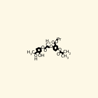 C=C(C)C(=O)Oc1ccc(O/C=C(\C)C(=O)Oc2ccc(C(C)O)c(O)c2)c(C(=O)OC(C)C)c1